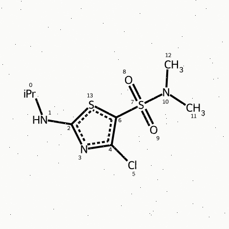 CC(C)Nc1nc(Cl)c(S(=O)(=O)N(C)C)s1